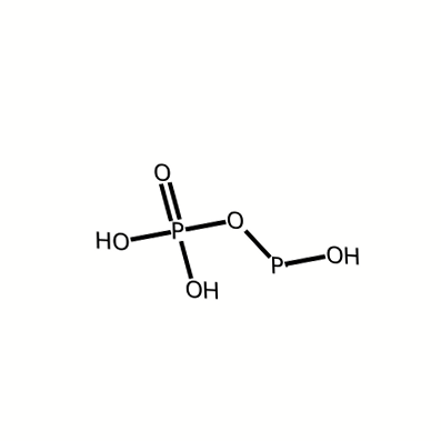 O=P(O)(O)O[P]O